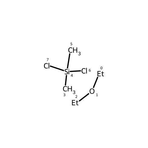 CCOCC.C[Si](C)(Cl)Cl